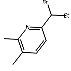 CCC(Br)c1ccc(C)c(C)n1